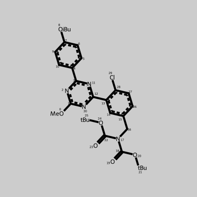 COc1nc(-c2ccc(OCC(C)C)cc2)nc(-c2cc(CN(C(=O)OC(C)(C)C)C(=O)OC(C)(C)C)ccc2Cl)n1